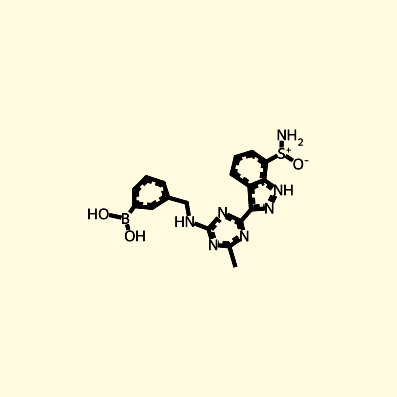 Cc1nc(NCc2cccc(B(O)O)c2)nc(-c2n[nH]c3c([S+](N)[O-])cccc23)n1